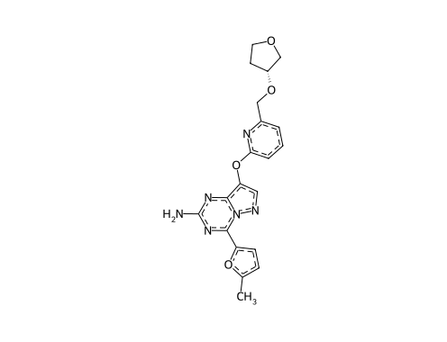 Cc1ccc(-c2nc(N)nc3c(Oc4cccc(CO[C@@H]5CCOC5)n4)cnn23)o1